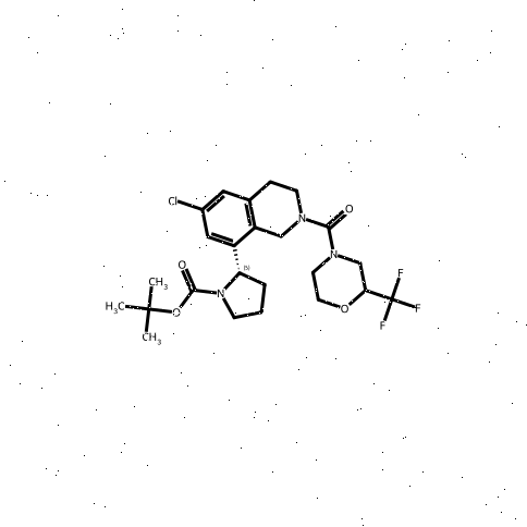 CC(C)(C)OC(=O)N1CCC[C@H]1c1cc(Cl)cc2c1CN(C(=O)N1CCOC(C(F)(F)F)C1)CC2